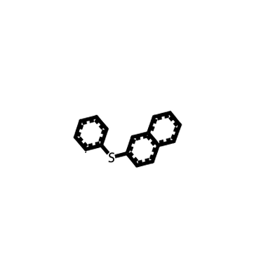 [c]1ccccc1Sc1ccc2ccccc2c1